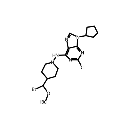 CCC(C)OC(CC)C1CCN(Nc2nc(Cl)nc3c2ncn3C2CCCC2)CC1